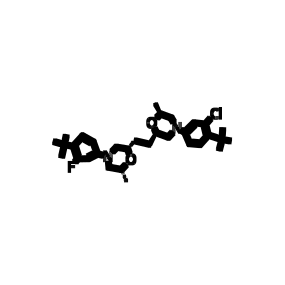 C[C@@H]1CN(c2ccc(C(C)(C)C)c(F)c2)C[C@H](CC[C@@H]2CN(c3ccc(C(C)(C)C)c(Cl)c3)C[C@H](C)O2)O1